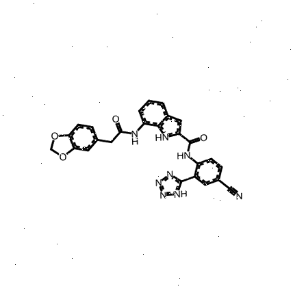 N#Cc1ccc(NC(=O)c2cc3cccc(NC(=O)Cc4ccc5c(c4)OCO5)c3[nH]2)c(-c2nnn[nH]2)c1